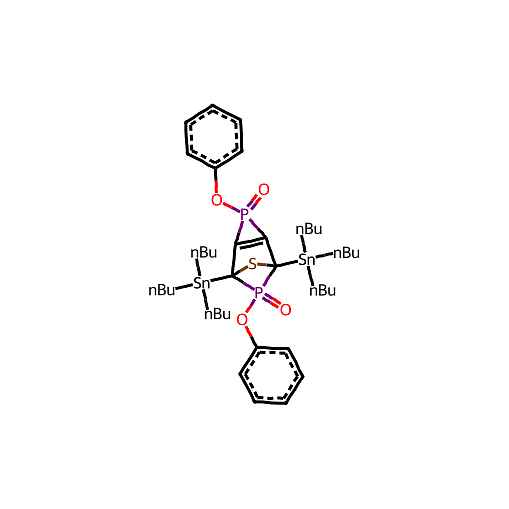 CCC[CH2][Sn]([CH2]CCC)([CH2]CCC)[C]12S[C]([Sn]([CH2]CCC)([CH2]CCC)[CH2]CCC)(C3=C1P3(=O)Oc1ccccc1)P2(=O)Oc1ccccc1